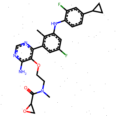 Cc1c(Nc2ccc(C3CC3)cc2F)cc(F)cc1-c1ncnc(N)c1OCCN(C)C(=O)C1CO1